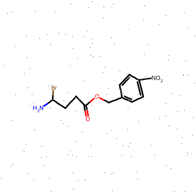 NC(Br)CCC(=O)OCc1ccc([N+](=O)[O-])cc1